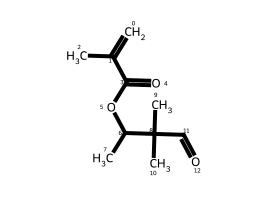 C=C(C)C(=O)OC(C)C(C)(C)C=O